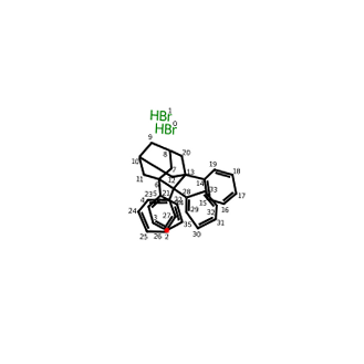 Br.Br.c1ccc(C23CC4CC(C2)CC(c2ccccc2)(C4)C3(c2ccccc2)c2ccccc2)cc1